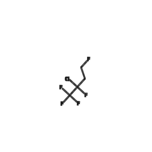 FCCC(F)(Cl)C(F)(F)F